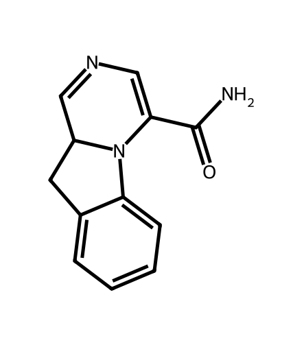 NC(=O)C1=CN=CC2Cc3ccccc3N12